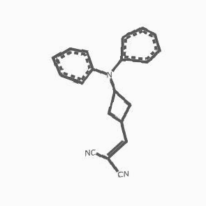 N#CC(C#N)=CC1CC(N(c2ccccc2)c2ccccc2)C1